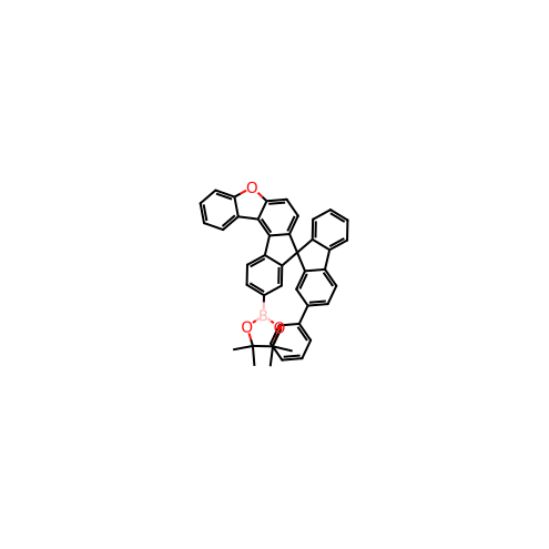 CC1(C)OB(c2ccc3c(c2)C2(c4ccccc4-c4ccc(-c5ccccc5)cc42)c2ccc4oc5ccccc5c4c2-3)OC1(C)C